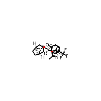 Cc1n[nH]c(C)c1S(=O)(=O)CN1[C@@H]2CC[C@H]1C[C@H](Oc1ccc(C(F)(F)F)cc1)C2